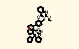 CCOc1nc2ccccc2c(=O)n1Cc1ccc(-c2ccccc2-c2nnnn2C(c2ccccc2)(c2ccccc2)c2ccccc2)cc1